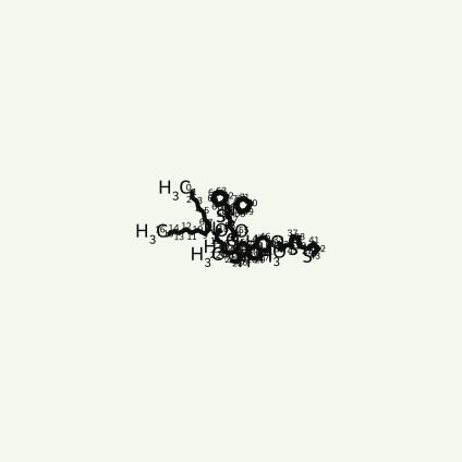 CCCCCCCCN(CCCCCCCC)C(=O)CC[C@@H](C)[C@H]1CC[C@H]2[C@@H]3CC[C@@H]4C[C@H](OC(=O)c5ccc(-c6cccs6)s5)CC[C@]4(C)[C@H]3C[C@H](OC(=O)CSC(=S)N(c3ccccc3)c3ccccc3)[C@]12C